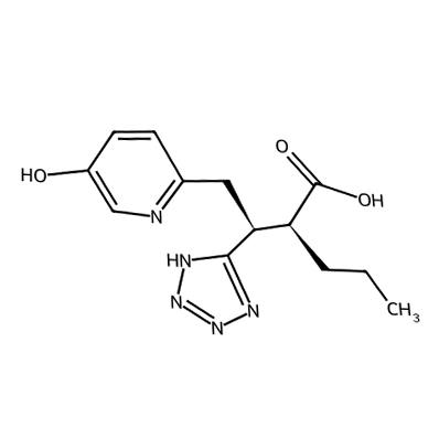 CCC[C@H](C(=O)O)[C@H](Cc1ccc(O)cn1)c1nnn[nH]1